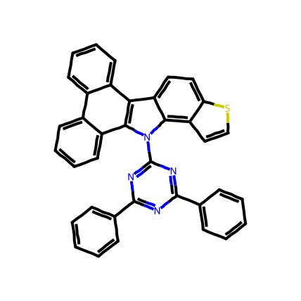 c1ccc(-c2nc(-c3ccccc3)nc(-n3c4c5ccsc5ccc4c4c5ccccc5c5ccccc5c43)n2)cc1